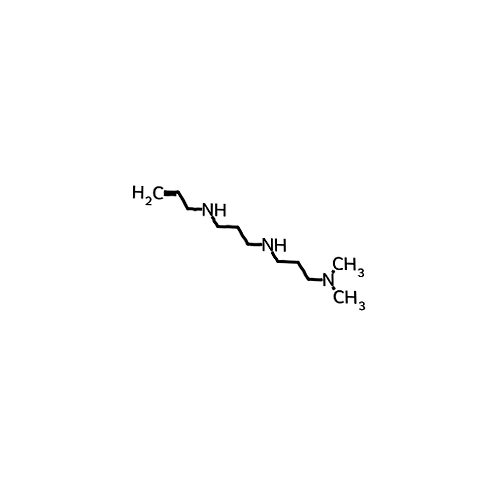 C=CCNCCCNCCCN(C)C